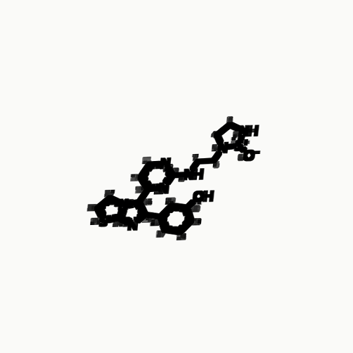 [O-][S+]1NCCN1CCNc1nccc(-c2c(-c3cccc(O)c3)nc3sccn23)n1